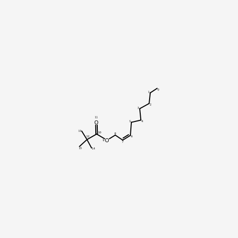 CCCCCC/C=C\COC(=O)C(C)(C)C